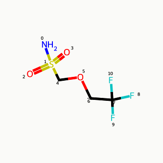 NS(=O)(=O)CO[CH]C(F)(F)F